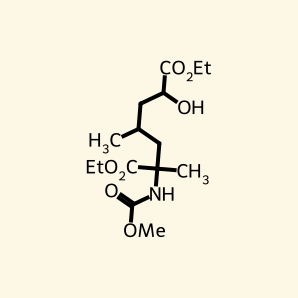 CCOC(=O)C(O)CC(C)CC(C)(NC(=O)OC)C(=O)OCC